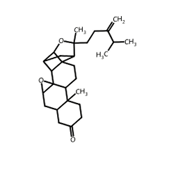 C=C(CCC1(C)OC2C3CC1C21CCC2C4(C)CCC(=O)CC4CC4OC42C31)C(C)C